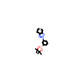 CC1(C)OB(c2cccc(-n3nc4ccccc4n3)c2)OC1(C)C